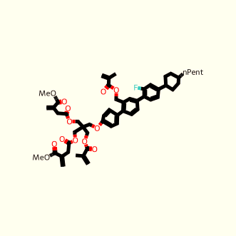 C=C(C)C(=O)OCc1cc(-c2ccc(C3CCC(CCCCC)CC3)cc2F)ccc1-c1ccc(OCC(COC(=O)CC(=C)C(=O)OC)(COC(=O)CC(=C)C(=O)OC)COC(=O)C(=C)C)cc1